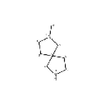 CN1CCC2(CCNC2)C1